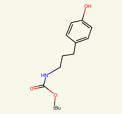 CC(C)(C)OC(=O)NCCCc1ccc(O)cc1